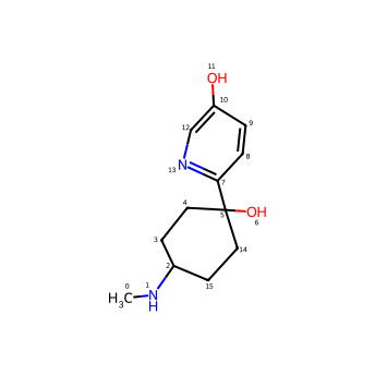 CNC1CCC(O)(c2ccc(O)cn2)CC1